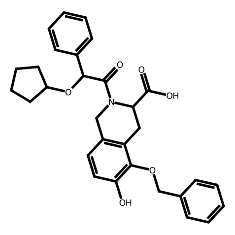 O=C(O)C1Cc2c(ccc(O)c2OCc2ccccc2)CN1C(=O)C(OC1CCCC1)c1ccccc1